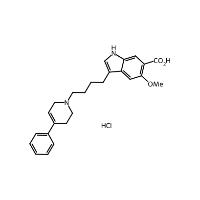 COc1cc2c(CCCCN3CC=C(c4ccccc4)CC3)c[nH]c2cc1C(=O)O.Cl